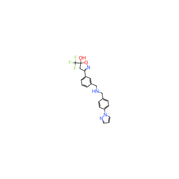 OC1(C(F)(F)F)CC(c2cccc(CNCc3ccc(-n4cccn4)cc3)c2)=NO1